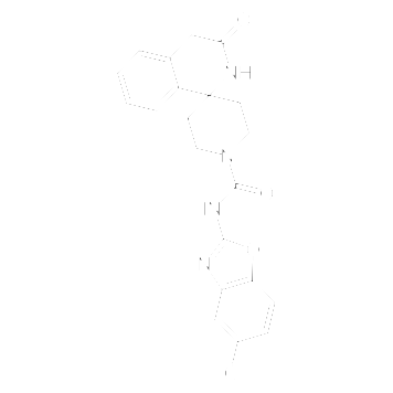 O=C1Cc2ccccc2C2(CCN(C(=O)Nc3nc4cc(Cl)ccc4o3)CC2)N1